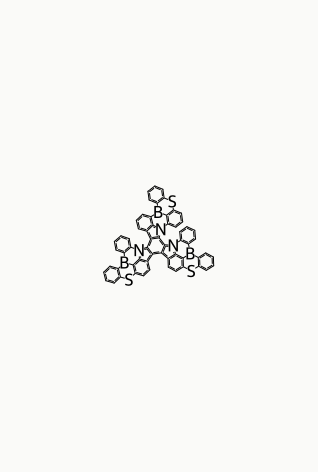 c1ccc2c(c1)Sc1ccc3c4c5c6ccc7c8c6n(c5c5c(c6cccc9c6n5-c5cccc6c5B9c5ccccc5S6)c4n4c3c1B2c1ccccc1-4)-c1ccccc1B8c1ccccc1S7